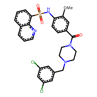 COc1cc(C(=O)N2CCN(Cc3cc(Cl)cc(Cl)c3)CC2)ccc1NS(=O)(=O)c1cccc2cccnc12